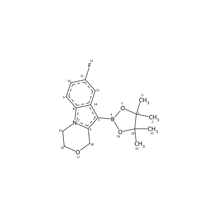 CC1(C)OB(c2c3n(c4ccc(F)cc24)CCOC3)OC1(C)C